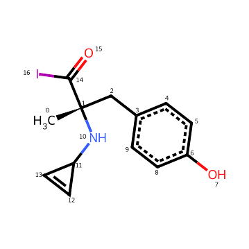 C[C@@](Cc1ccc(O)cc1)(NC1C=C1)C(=O)I